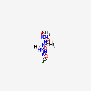 COc1cnc(C(=O)N2CCN([C@@H](C)C(=O)Nc3cnc(Oc4ccc(F)cc4)cn3)CC2(C)C)cn1